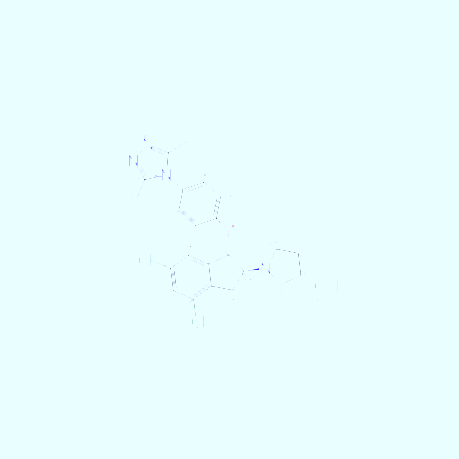 Cc1nnc(C)n1-c1ccc(O[C@H]2c3cc(Cl)cc(Cl)c3C[C@@H]2N2CC[C@H](O)C2)cc1